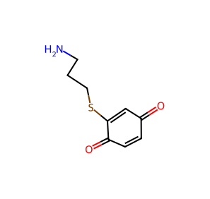 NCCCSC1=CC(=O)C=CC1=O